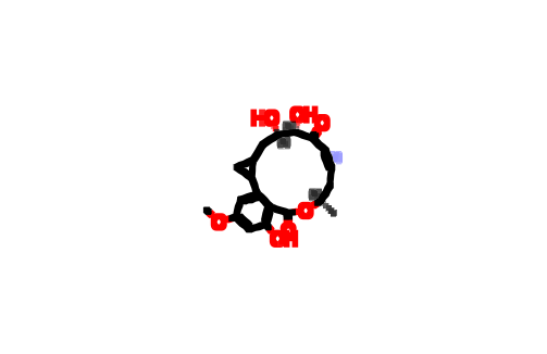 COc1cc(O)c2c(c1)C1CC1C[C@H](O)[C@H](O)C(=O)/C=C\C[C@H](C)OC2=O